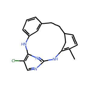 CC1=C2CC(C=C1)CCc1cccc(c1)Nc1nc(ncc1Cl)N2